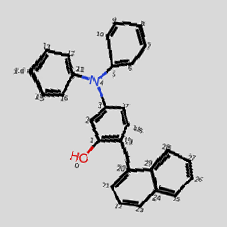 Oc1cc(N(c2ccccc2)c2ccccc2)ccc1-c1cccc2ccccc12